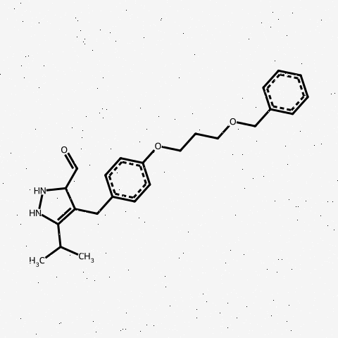 CC(C)C1=C(Cc2ccc(OCCCOCc3ccccc3)cc2)C(C=O)NN1